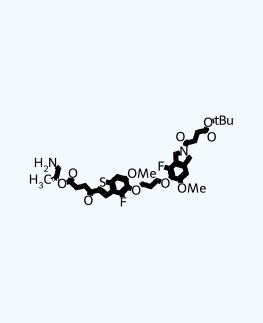 COc1cc2c(c(F)c1OCCCOc1c(OC)cc3sc(C(=O)CCC(=O)O[C@H](C)CN)cc3c1F)CN(C(=O)CCC(=O)OC(C)(C)C)C2